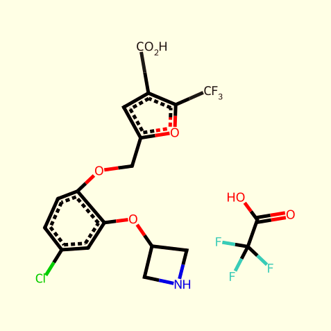 O=C(O)C(F)(F)F.O=C(O)c1cc(COc2ccc(Cl)cc2OC2CNC2)oc1C(F)(F)F